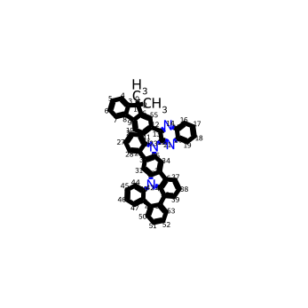 CC1(C)c2ccccc2-c2ccc(-c3nc4ccccc4nc3-n3c4ccccc4c4cc5c(cc43)c3cccc4c3n5-c3ccccc3-c3ccccc3-4)cc21